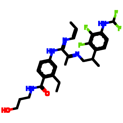 C\C=C/N=C(Nc1ccc(C(=O)NCCCO)c(CC)c1)\C(C)=N\CC(C)c1ccc(NC(F)F)c(F)c1F